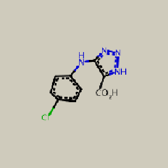 O=C(O)c1[nH]nnc1Nc1ccc(Cl)cc1